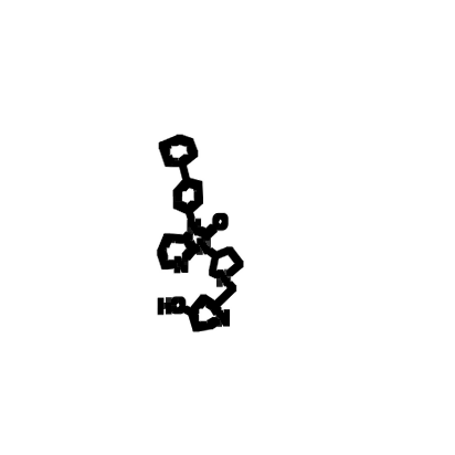 O=c1n(-c2ccc(-c3ccccc3)cc2)c2cccnc2n1C1CCN(Cc2cc(O)ccn2)C1